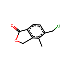 Cc1c(CCl)ccc2c1COC2=O